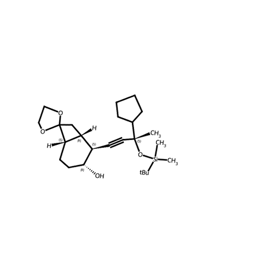 CC(C)(C)[Si](C)(C)O[C@](C)(C#C[C@@H]1[C@H]2CC3(OCCO3)[C@H]2CC[C@H]1O)C1CCCC1